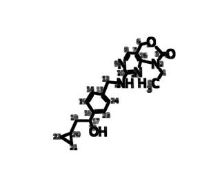 CCN1C(=O)OCc2cnc(NCc3ccc(C(O)CC4CC4)cc3)nc21